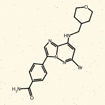 NC(=O)c1ccc(-c2cnc3c(NCC4CCOCC4)cc(Br)nn23)cc1